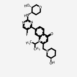 CC(C)n1c(CN2CCC[C@@H](O)C2)cc(=O)c2ccc(-c3nc(N[C@@H]4CCOC[C@H]4O)ncc3F)cc21